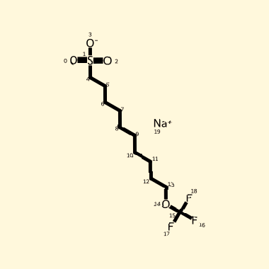 O=S(=O)([O-])CCCCCCCCCCOC(F)(F)F.[Na+]